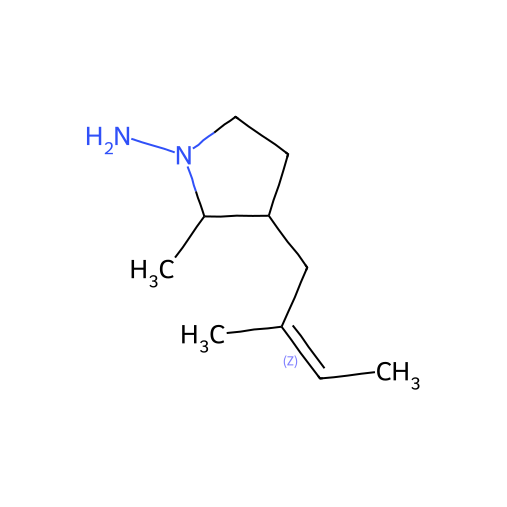 C/C=C(/C)CC1CCN(N)C1C